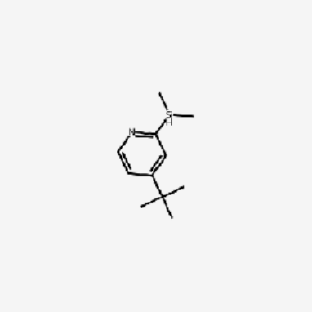 C[SiH](C)c1cc(C(C)(C)C)ccn1